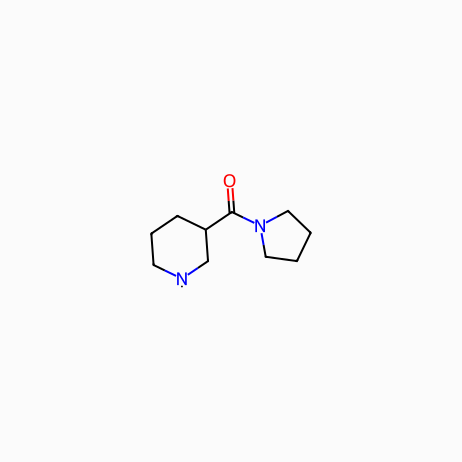 O=C(C1CCC[N]C1)N1CCCC1